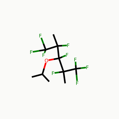 CC(C)OC(F)(C(C)(F)C(F)(F)F)C(C)(F)C(F)(F)F